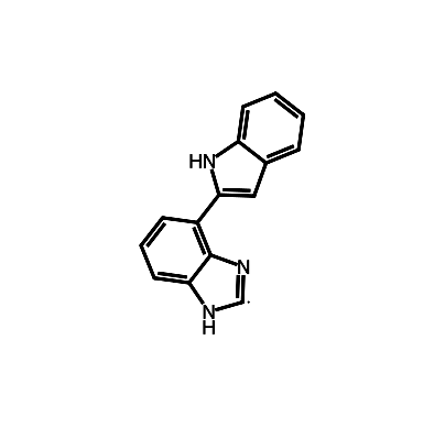 [c]1nc2c(-c3cc4ccccc4[nH]3)cccc2[nH]1